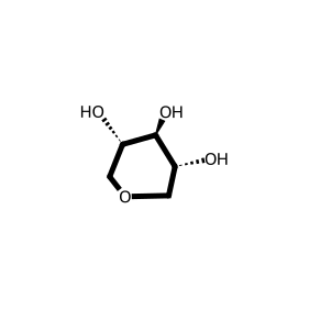 O[C@H]1[C@H](O)COC[C@@H]1O